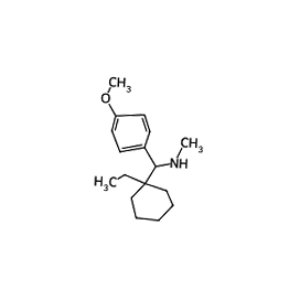 CCC1(C(NC)c2ccc(OC)cc2)CCCCC1